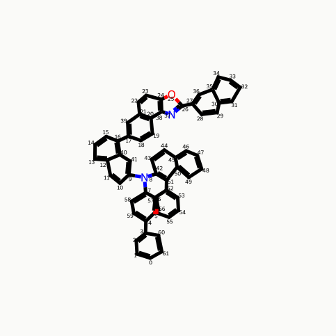 c1ccc(-c2ccc(N(c3ccc4cccc(-c5ccc6c(ccc7oc(-c8ccc9ccccc9c8)nc76)c5)c4c3)c3ccc4ccccc4c3-c3ccccc3)cc2)cc1